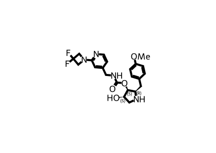 COc1ccc(C[C@H]2NC[C@H](O)[C@H]2OC(=O)NCc2ccnc(N3CC(F)(F)C3)c2)cc1